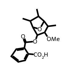 COC1C(C)C2OC(C(C)C2C)C1OC(=O)c1ccccc1C(=O)O